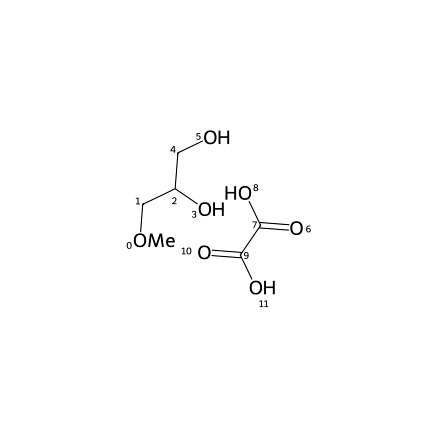 COCC(O)CO.O=C(O)C(=O)O